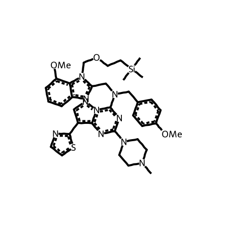 COc1ccc(CN(Cc2nc3cccc(OC)c3n2COCC[Si](C)(C)C)c2nc(N3CCN(C)CC3)nc3c(-c4nccs4)cnn23)cc1